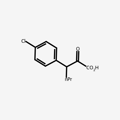 CCCC(C(=O)C(=O)O)c1ccc(Cl)cc1